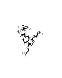 CCOC(=O)[C@H]1CCN(C(=O)OC(C)(C)C)C[C@@H]1C(=O)OCC